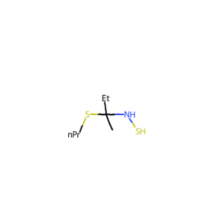 CCCSC(C)(CC)NS